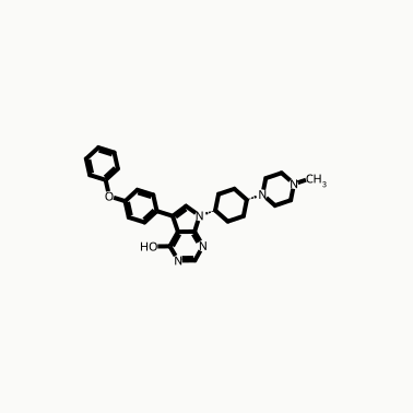 CN1CCN([C@H]2CC[C@@H](n3cc(-c4ccc(Oc5ccccc5)cc4)c4c(O)ncnc43)CC2)CC1